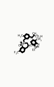 CCn1nnc2c(C)c([C@H](c3ccc(C)c(CN4C[C@@H](C)Cc5ccc(C(F)(F)F)cc5S4(=O)=O)c3)[C@@H](C)C(=O)O)ccc21